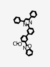 ClOc1ccc(-c2cccc(-c3nc(-c4ccccc4)cc(-c4ccccc4)n3)c2)cc1-c1nc2ccccc2o1